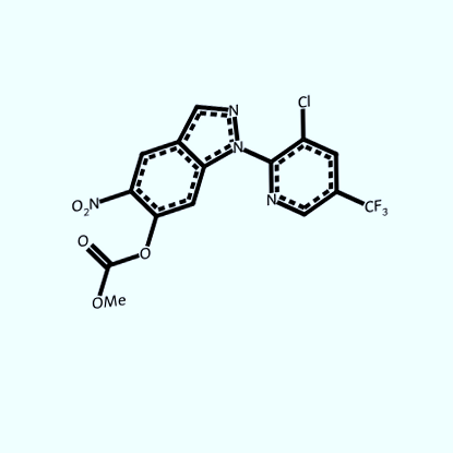 COC(=O)Oc1cc2c(cnn2-c2ncc(C(F)(F)F)cc2Cl)cc1[N+](=O)[O-]